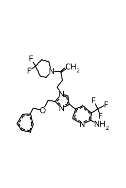 C=C(CCn1cc(-c2cnc(N)c(C(F)(F)F)c2)nc1COCc1ccccc1)N1CCC(F)(F)CC1